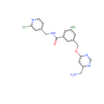 Cl.NCc1cc(OCc2cccc(C(=O)NCc3ccnc(Cl)c3)c2)ncn1